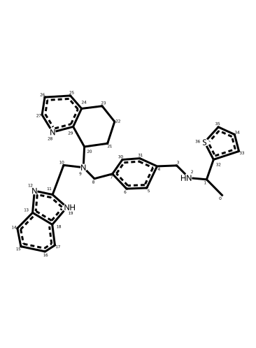 CC(NCc1ccc(CN(Cc2nc3ccccc3[nH]2)C2CCCc3cccnc32)cc1)c1cccs1